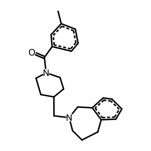 Cc1cccc(C(=O)N2CCC(CN3CCCc4ccccc4C3)CC2)c1